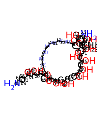 CC1/C=C/C=C/C=C\C=C/C=C/C=C/C=C/C(OC2O[C@H](C)[C@@H](O)[C@H](N)[C@@H]2O)CC2OC(O)(CC(O)CC(O)CC(O)CCCC(O)CC(O)CC(=O)OC1C(C)CCC(O)CC(=O)c1ccc(N)cc1)CC(O)C2C(=O)O